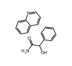 NC(=O)C(O)c1ccccc1.c1ccc2ncccc2c1